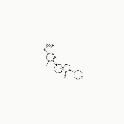 Cc1cc(N(C)C(=O)O)cnc1N1CCC[C@]2(CCN(C3CCOCC3)C2=O)C1